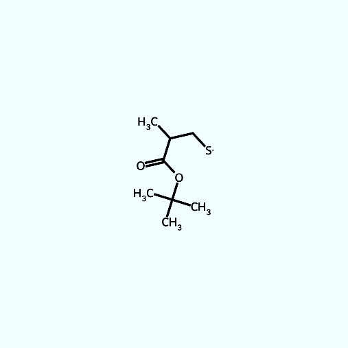 CC(C[S])C(=O)OC(C)(C)C